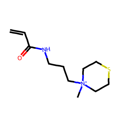 C=CC(=O)NCCC[N+]1(C)CCSCC1